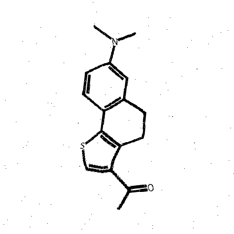 CC(=O)c1csc2c1CCc1cc(N(C)C)ccc1-2